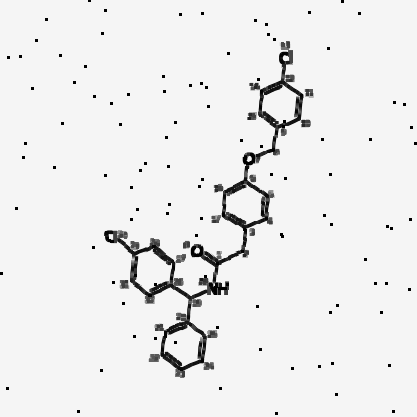 O=C(Cc1ccc(OCc2ccc(Cl)cc2)cc1)NC(c1ccccc1)c1ccc(Cl)cc1